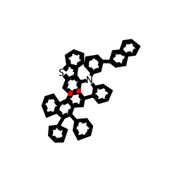 c1ccc(-c2c(-c3ccccc3)c3cc(-c4ccccc4N(c4cccc(-c5ccc6ccccc6c5)c4)c4cccc5sc6ccccc6c45)ccc3c3ccccc23)cc1